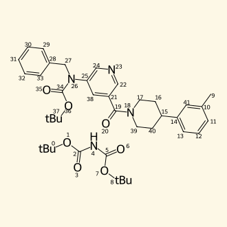 CC(C)(C)OC(=O)NC(=O)OC(C)(C)C.Cc1cccc(C2CCN(C(=O)c3cncc(N(Cc4ccccc4)C(=O)OC(C)(C)C)c3)CC2)c1